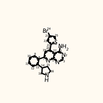 Nc1ncnc2nc(-c3ccccc3C3CCNC3)cc(-c3cc(Br)cs3)c12